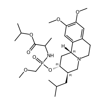 COCP(=O)(NC(C)C(=O)OC(C)C)O[C@@H]1C[C@@H]2c3cc(OC)c(OC)cc3CCN2C[C@H]1CC(C)C